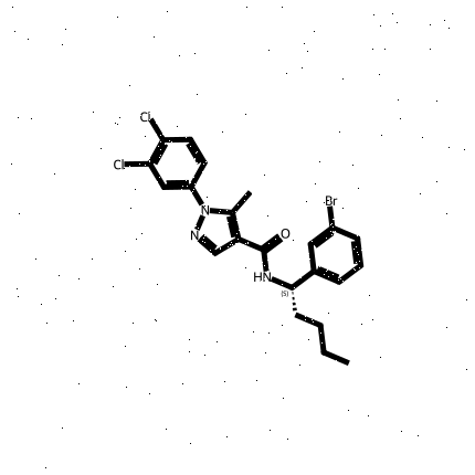 CCCC[C@H](NC(=O)c1cnn(-c2ccc(Cl)c(Cl)c2)c1C)c1cccc(Br)c1